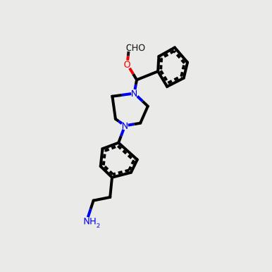 NCCc1ccc(N2CCN(C(OC=O)c3ccccc3)CC2)cc1